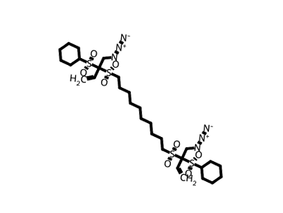 C=CC(CN=[N+]=[N-])(S(=O)(=O)CCCCCCCCCCS(=O)(=O)C(C=C)(CN=[N+]=[N-])S(=O)(=O)C1CCCCC1)S(=O)(=O)C1CCCCC1